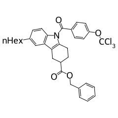 CCCCCCc1ccc2c(c1)c1c(n2C(=O)c2ccc(OC(Cl)(Cl)Cl)cc2)CCC(C(=O)OCc2ccccc2)C1